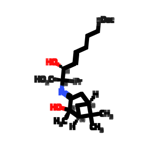 CCCCCCCCCCCCCC=C[C@@H](O)[C@](N=C1C[C@@H]2C[C@@H](C2(C)C)[C@]1(C)O)(C(=O)O)C(C)C